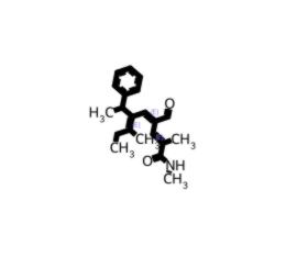 CC/C(C)=C(/C=C(C=O)\C=C(/C)C(=O)NC)C(C)c1ccccc1